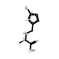 COC(=O)[C@@H](C)NCc1ccc(Br)s1